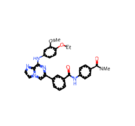 CCOc1ccc(Nc2nc(-c3cccc(C(=O)Nc4ccc(C(=O)NC)cc4)c3)cn3ccnc23)cc1OC